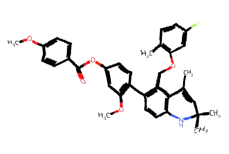 COc1ccc(C(=O)Oc2ccc(-c3ccc4c(c3COc3cc(F)ccc3C)C(C)=CC(C)(C)N4)c(OC)c2)cc1